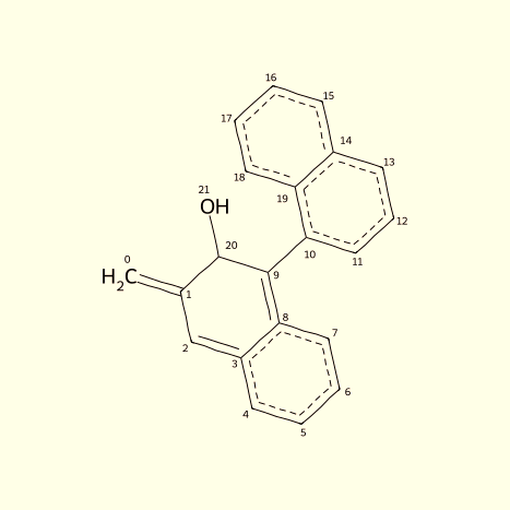 C=C1C=c2ccccc2=C(c2cccc3ccccc23)C1O